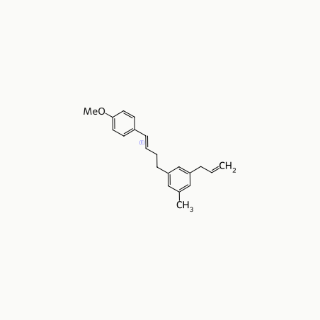 C=CCc1cc(C)cc(CC/C=C/c2ccc(OC)cc2)c1